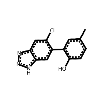 Cc1ccc(O)c(-c2cc3[nH]nnc3cc2Cl)c1